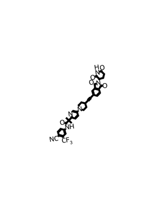 CC(C)(C(=O)Nc1ccc(C#N)c(C(F)(F)F)c1)c1ccc(N2CCC(C#Cc3ccc4c(c3)C(=O)N(C3CCC(=O)NC3=O)C4=O)CC2)cn1